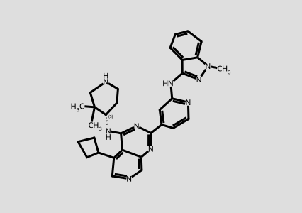 Cn1nc(Nc2cc(-c3nc(N[C@H]4CCNCC4(C)C)c4c(C5CCC5)cncc4n3)ccn2)c2ccccc21